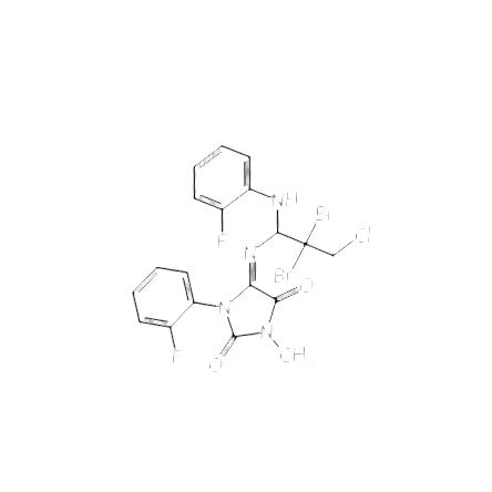 CN1C(=O)C(=NC(Nc2ccccc2F)C(Br)(Br)CCl)N(c2ccccc2F)C1=O